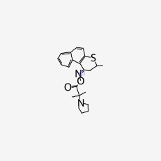 CC1C/C(=N\OC(=O)C(C)(C)N2CCCC2)c2c(ccc3ccccc23)S1